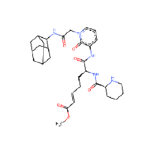 COC(=O)/C=C/CC[C@H](NC(=O)[C@@H]1CCCCN1)C(=O)Nc1cccn(CC(=O)NC2C3CC4CC(C3)CC2C4)c1=O